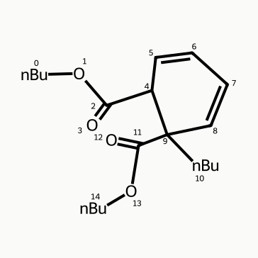 CCCCOC(=O)C1C=CC=CC1(CCCC)C(=O)OCCCC